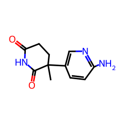 CC1(c2ccc(N)nc2)CCC(=O)NC1=O